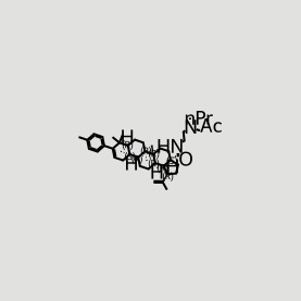 C=C(C)[C@@H]1CC[C@]2(C(=O)NCCN(CCC)CC(C)=O)CC[C@]3(C)[C@H](CC[C@@H]4[C@@]5(C)CC=C(c6ccc(C)cc6)C(C)(C)[C@@H]5CC[C@]43C)[C@@H]12